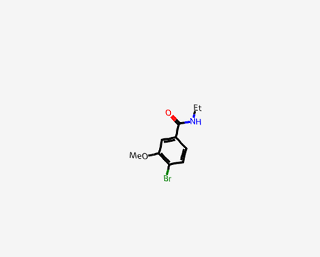 CCNC(=O)c1ccc(Br)c(OC)c1